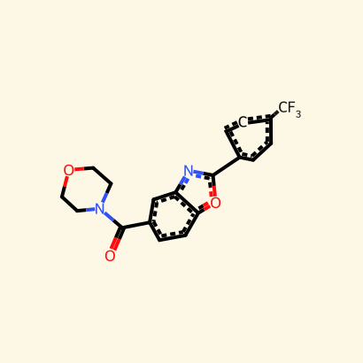 O=C(c1ccc2oc(-c3ccc(C(F)(F)F)cc3)nc2c1)N1CCOCC1